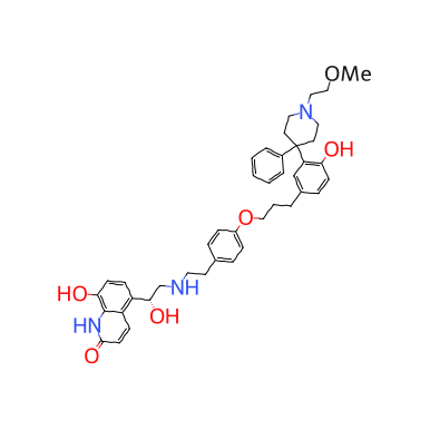 COCCN1CCC(c2ccccc2)(c2cc(CCCOc3ccc(CCNC[C@H](O)c4ccc(O)c5[nH]c(=O)ccc45)cc3)ccc2O)CC1